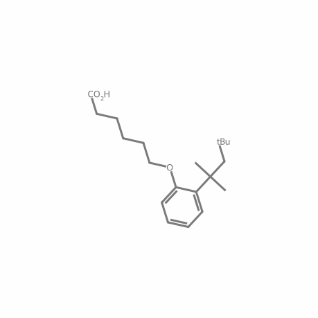 CC(C)(C)CC(C)(C)c1ccccc1OCCCCCC(=O)O